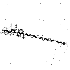 C=P(C)(C)CCC1OC(n2cnc3c(NCCCOCCOCCOCCOCCOCCCN)ncnc32)[C@H](O)[C@@H]1O